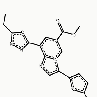 CCc1nnc(-c2cc(C(=O)OC)cn3c(-c4ccc(C)s4)cnc23)o1